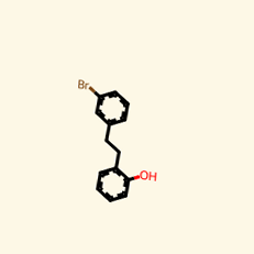 Oc1ccccc1CCc1cccc(Br)c1